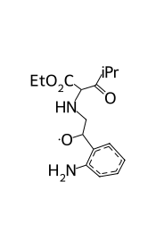 CCOC(=O)C(NCC([O])c1ccccc1N)C(=O)C(C)C